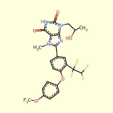 CC(O)Cn1c(=O)[nH]c(=O)c2c1nc(-c1ccc(Oc3ccc(OC(F)(F)F)cc3)c(C(F)(F)C(F)F)c1)n2C